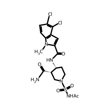 CC(=O)NS(=O)(=O)N1CC[C@@H](NC(=O)c2cc3c(Cl)c(Cl)ccc3n2C)[C@@H](C(N)=O)C1